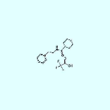 O=C(NCCc1ccccc1)c1ccccc1.O=C(O)C(F)(F)F